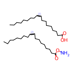 CCCCCCCC/C=C\CCCCCCCC(=O)O.CCCCCCCC/C=C\CCCCCCCC(=O)ON